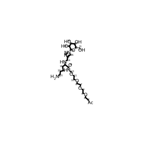 CC(=O)CCOCCOCCOCCOCNC(=O)C(CCCCN)NCc1cn(C2O[C@@H](CO)[C@@H](O)[C@@H](O)[C@@H]2O)nn1